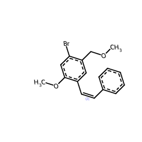 COCc1cc(/C=C\c2ccccc2)c(OC)cc1Br